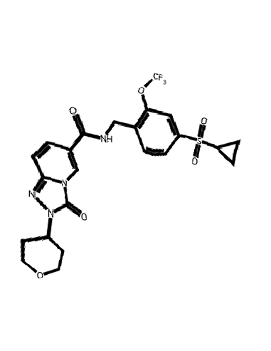 O=C(NCc1ccc(S(=O)(=O)C2CC2)cc1OC(F)(F)F)c1ccc2nn(C3CCOCC3)c(=O)n2c1